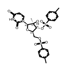 Cc1ccc(S(=O)(=O)OC[C@H]2O[C@@H](n3ccc(=O)[nH]c3=O)[C@@](C)(O)[C@@H]2OS(=O)(=O)c2ccc(C)cc2)cc1